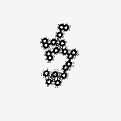 c1ccc(N2c3ccccc3B3c4ccccc4N(c4cccc(-c5ccc6cc(-c7cc(-c8ccc(N9c%10ccc(-c%11cccc%12ccccc%11%12)cc%10B%10c%11cc(-c%12cccc%13ccccc%12%13)ccc%11N(c%11ccc(-c%12cccc%13ccccc%12%13)cc%11)c%11cccc9c%11%10)cc8)c8ccccc8c7)ccc6c5)c4)c4cccc2c43)cc1